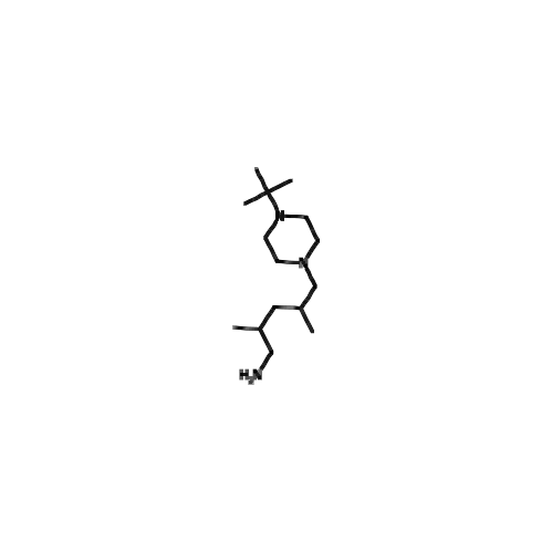 CC(CN)CC(C)CN1CCN(C(C)(C)C)CC1